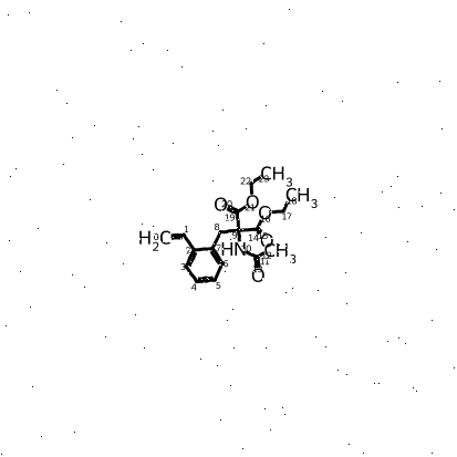 C=Cc1ccccc1CC(NC(C)=O)(C(=O)OCC)C(=O)OCC